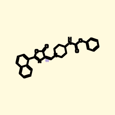 O=C(NC1CCN(/C=C2/N=C(c3cccc4ccccc34)OC2=O)CC1)Oc1ccccc1